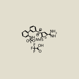 CSc1sc(C(=N)N)cc1S(=O)(=O)c1cccc(-c2ccccc2NS(C)(=O)=O)c1.O=C(O)C(F)(F)F